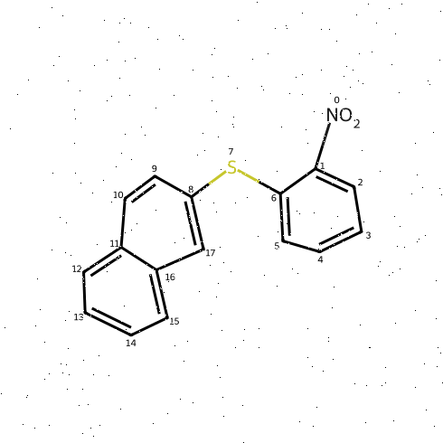 O=[N+]([O-])c1ccccc1Sc1ccc2ccccc2c1